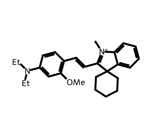 CCN(CC)c1ccc(/C=C/C2=[N+](C)c3ccccc3C23CCCCC3)c(OC)c1